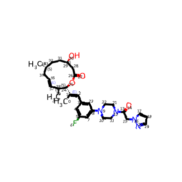 C/C(=C\c1cc(F)cc(N2CCN(C(=O)Cn3cccn3)CC2)c1)[C@H]1OC(=O)C[C@H](O)CC[C@@H](C)[CH]/C=C/[C@@H]1C